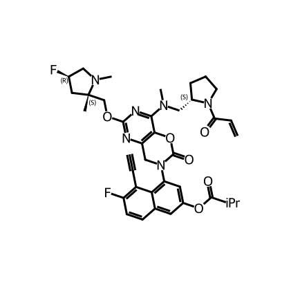 C#Cc1c(F)ccc2cc(OC(=O)C(C)C)cc(N3Cc4nc(OC[C@]5(C)C[C@@H](F)CN5C)nc(N(C)C[C@@H]5CCCN5C(=O)C=C)c4OC3=O)c12